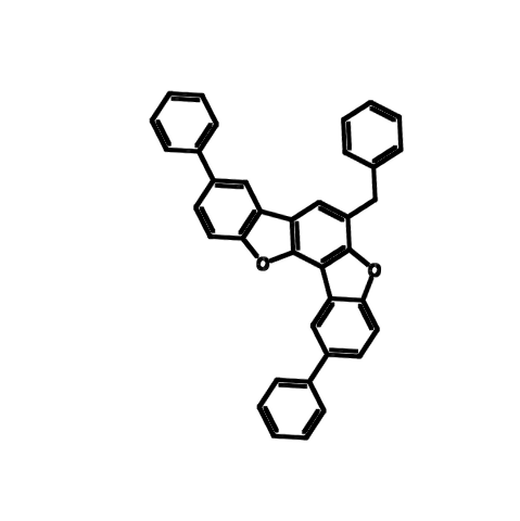 c1ccc(Cc2cc3c4cc(-c5ccccc5)ccc4oc3c3c2oc2ccc(-c4ccccc4)cc23)cc1